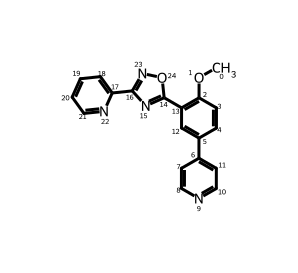 COc1ccc(-c2ccncc2)cc1-c1nc(-c2ccccn2)no1